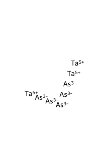 [As-3].[As-3].[As-3].[As-3].[As-3].[Ta+5].[Ta+5].[Ta+5]